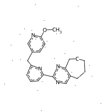 COc1ccc(Cc2cccc(-c3ncc4c(n3)CCCCC4)n2)cn1